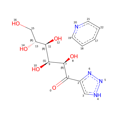 O=C(c1c[nH]nn1)[C@H](O)[C@@H](O)[C@H](O)[C@H](O)CO.c1ccncc1